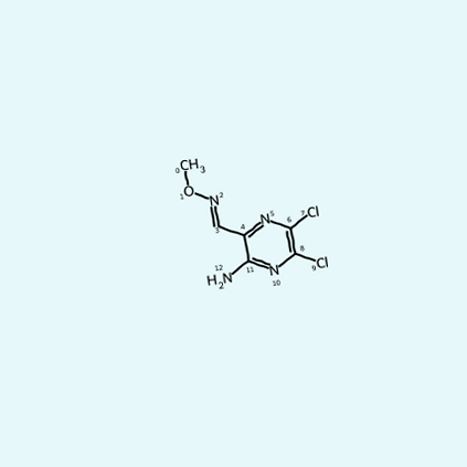 CON=Cc1nc(Cl)c(Cl)nc1N